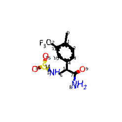 Cc1ccc(C(C)C(N)=O)cc1C(F)(F)F.N=S(=O)=O